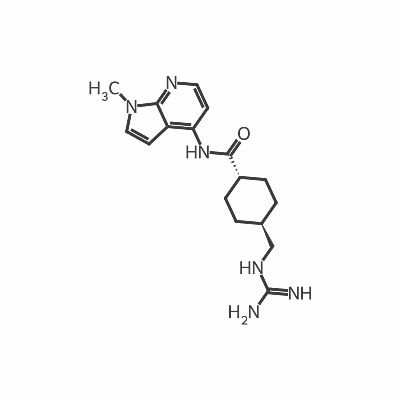 Cn1ccc2c(NC(=O)[C@H]3CC[C@H](CNC(=N)N)CC3)ccnc21